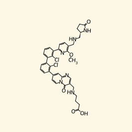 COc1nc(-c2cccc(-c3cccc(-c4ccn5c(=O)c(CNCCCC(=O)O)cnc5c4)c3Cl)c2Cl)ccc1CNC[C@H]1CCC(=O)N1